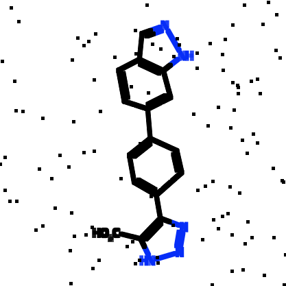 O=C(O)c1[nH]nnc1-c1ccc(-c2ccc3cn[nH]c3c2)cc1